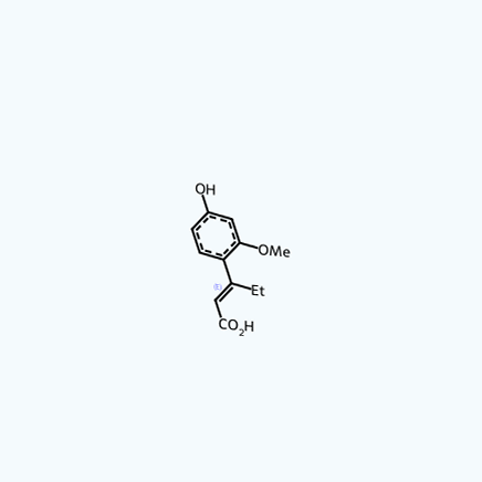 CC/C(=C\C(=O)O)c1ccc(O)cc1OC